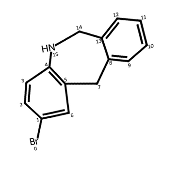 Brc1ccc2c(c1)Cc1ccccc1CN2